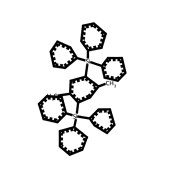 Cc1cc([Si](c2ccccc2)(c2ccccc2)c2ccccc2)c(C)cc1[Si](c1ccccc1)(c1ccccc1)c1ccccc1